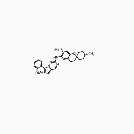 COc1cc2c(cc1Nc1ncc3ccc(-c4ccccc4OC)n3n1)CCC1(CCN(C)CC1)O2